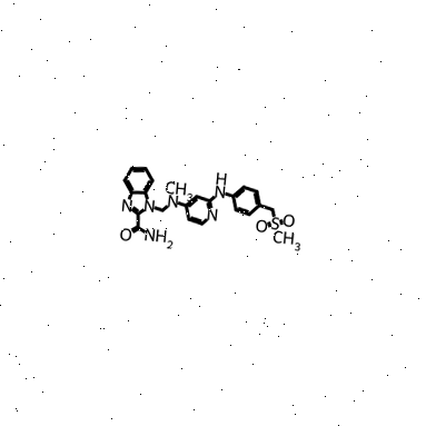 CN(Cn1c(C(N)=O)nc2ccccc21)c1ccnc(Nc2ccc(CS(C)(=O)=O)cc2)c1